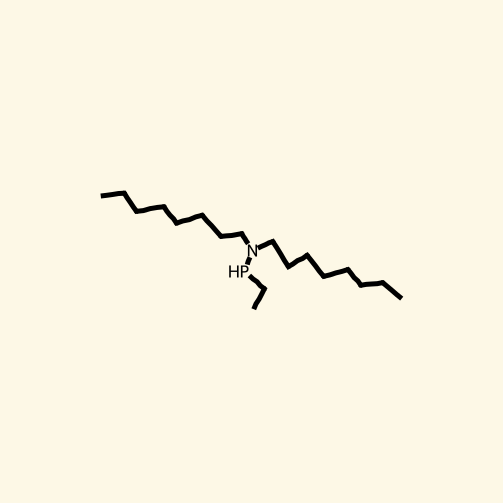 CCCCCCCCN(CCCCCCCC)PCC